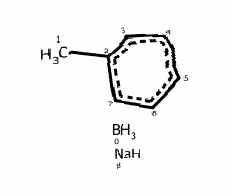 B.Cc1ccccc1.[NaH]